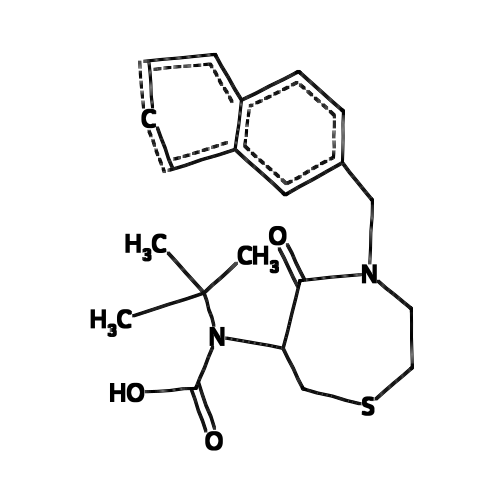 CC(C)(C)N(C(=O)O)C1CSCCN(Cc2ccc3ccccc3c2)C1=O